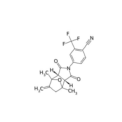 C=C1CC2(C)OC1(C)[C@@H]1C(=O)N(c3ccc(C#N)c(C(F)(F)F)c3)C(=O)[C@@H]12